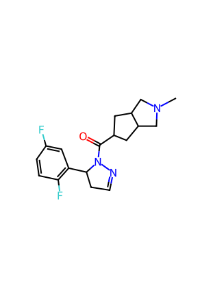 CN1CC2CC(C(=O)N3N=CCC3c3cc(F)ccc3F)CC2C1